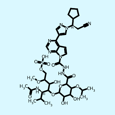 COC(COS(=O)(=O)O)C(O)C(OC1OC(C(=O)NNC(=O)n2ccc3c(-c4cnn([C@H](CC#N)C5CCCC5)c4)ncnc32)C(OC(C)C)C(O)C1O)[C@H](NC(C)=O)C(C)C